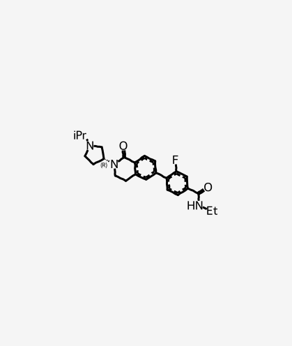 CCNC(=O)c1ccc(-c2ccc3c(c2)CCN([C@@H]2CCN(C(C)C)C2)C3=O)c(F)c1